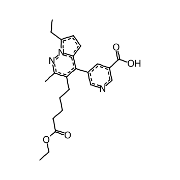 CCOC(=O)CCCCc1c(C)nn2c(CC)ccc2c1-c1cncc(C(=O)O)c1